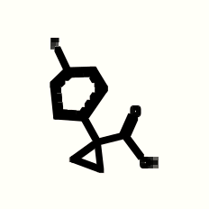 O=C(O)C1(c2ccc(F)cc2)CC1